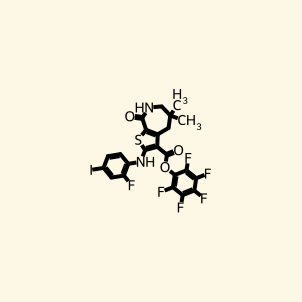 CC1(C)CNC(=O)c2sc(Nc3ccc(I)cc3F)c(C(=O)Oc3c(F)c(F)c(F)c(F)c3F)c2C1